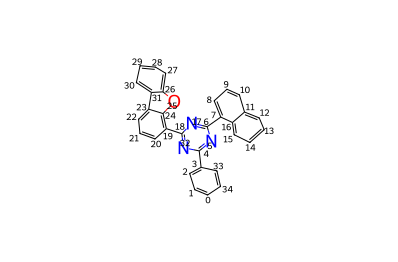 c1ccc(-c2nc(-c3cccc4ccccc34)nc(-c3cccc4c3oc3ccccc34)n2)cc1